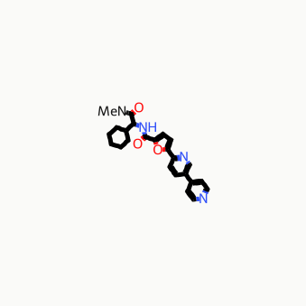 CNC(=O)C(NC(=O)c1ccc(-c2ccc(-c3ccncc3)cn2)o1)C1CCCCC1